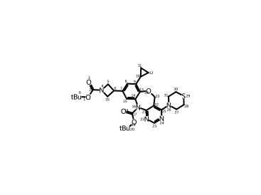 CC(C)(C)OC(=O)N1CC(c2cc(C3CC3)c3c(c2)N(C(=O)OC(C)(C)C)c2ncnc(N4CCSCC4)c2CO3)C1